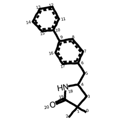 CC1(C)CC(Cc2ccc(-c3ccccc3)cc2)NC1=O